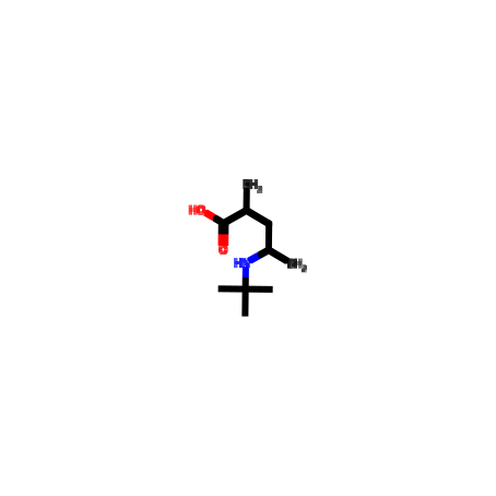 BC(CC(B)C(=O)O)NC(C)(C)C